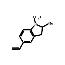 C=Cc1ccc2c(c1)CC(C(C)(C)C)N2C(=O)O